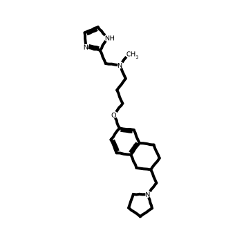 CN(CCCOc1ccc2c(c1)CCC(CN1CCCC1)C2)Cc1ncc[nH]1